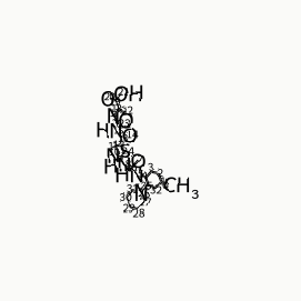 Cc1ccc(NC(=O)Nc2ncc(C(=O)Nc3nc(C(=O)O)co3)s2)c(N2CCCCC2)c1